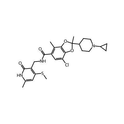 CSc1cc(C)[nH]c(=O)c1CNC(=O)c1cc(Cl)c2c(c1C)OC(C)(C1CCN(C3CC3)CC1)O2